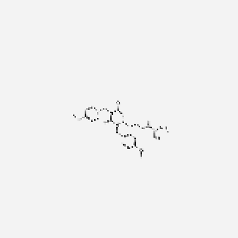 COc1ccc(Cn2c(CCCNC(=N)N)cc(=O)n(Cc3ccc(OC)cc3)c2=O)cc1